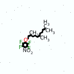 CC(C)=CCCC(C)=CCCC(C)=CCOc1c(F)c(F)c([N+](=O)[O-])c(F)c1F